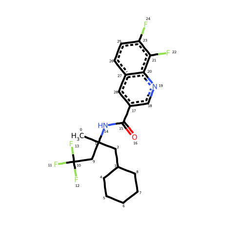 CC(CC1CCCCC1)(CC(F)(F)F)NC(=O)c1cnc2c(F)c(F)ccc2c1